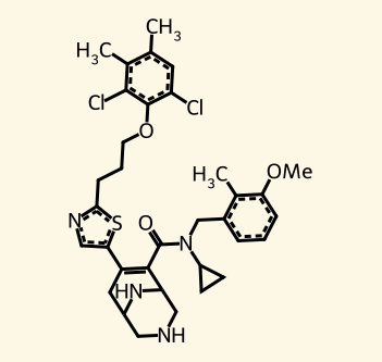 COc1cccc(CN(C(=O)C2=C(c3cnc(CCCOc4c(Cl)cc(C)c(C)c4Cl)s3)CC3CNCC2N3)C2CC2)c1C